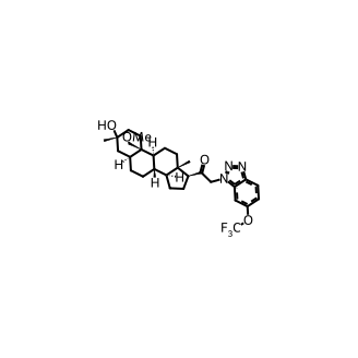 COC[C@]12CC[C@@](C)(O)C[C@@H]1CC[C@H]1[C@@H]3CC[C@H](C(=O)Cn4nnc5ccc(OC(F)(F)F)cc54)[C@@]3(C)CC[C@@H]12